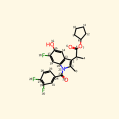 Cc1c(C(C)C(=O)OC2CCCC2)c2cc(O)c(F)cc2n1C(=O)c1ccc(F)c(F)c1